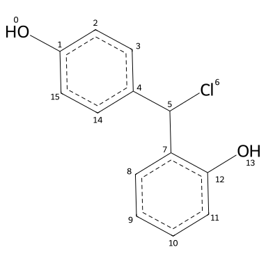 Oc1ccc(C(Cl)c2ccccc2O)cc1